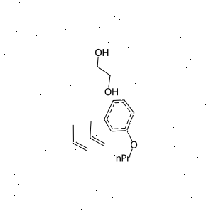 C=CC.C=CC.CCCOc1ccccc1.OCCO